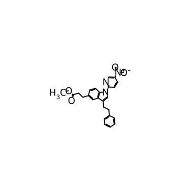 COC(=O)CCc1ccc2c(c1)c(CCc1ccccc1)cn2-c1ccc([N+](=O)[O-])cn1